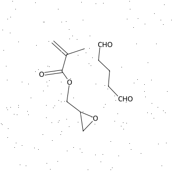 C=C(C)C(=O)OCC1CO1.O=CCCCC=O